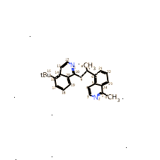 Cc1nccc2c(C(C)Cc3nccc4c(C(C)(C)C)cccc34)cccc12